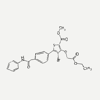 CCOC(=O)COc1c(C(=O)OC)sc(-c2ccc(C(=O)Nc3ccccc3)cc2)c1Br